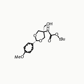 COc1ccc([C@H]2OC[C@](CO)(NC(=O)OC(C)(C)C)CO2)cc1